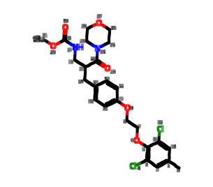 Cc1cc(Cl)c(OCCOc2ccc(CC(CNC(=O)OC(C)(C)C)C(=O)N3CCOCC3)cc2)c(Cl)c1